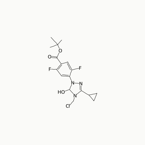 CC(C)(C)OC(=O)c1cc(F)c(N2N=C(C3CC3)N(CCl)C2O)cc1F